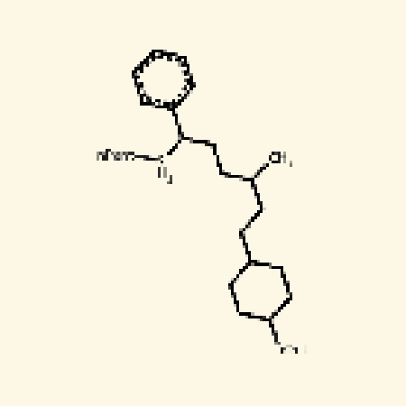 CCCCCCCCC1CCC(CCC(C)CCC([SiH2]CCCCC)c2ccccc2)CC1